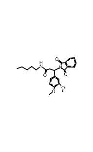 CCCCCNC(=O)CC(c1ccc(OC)c(OC)c1)N1C(=O)c2ccccc2C1=O